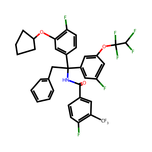 O=C(NC(Cc1ccccc1)(c1cc(F)cc(OC(F)(F)C(F)F)c1)c1ccc(F)c(OC2CCCC2)c1)c1ccc(F)c(C(F)(F)F)c1